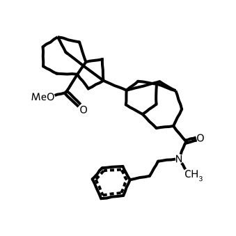 COC(=O)C12CCCC3CC1CC(C14CC5CC(C(=O)N(C)CCc6ccccc6)CC(C1)C(C5)C4)(C3)C2